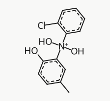 Cc1ccc(O)c([N+](O)(O)c2ccccc2Cl)c1